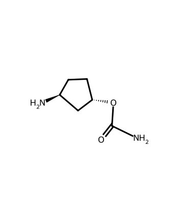 NC(=O)O[C@H]1CC[C@H](N)C1